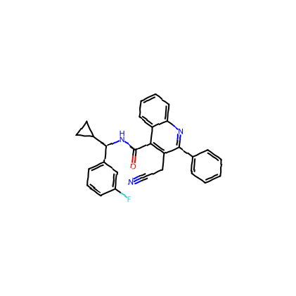 N#CCc1c(-c2ccccc2)nc2ccccc2c1C(=O)NC(c1cccc(F)c1)C1CC1